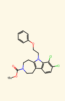 CC(C)(C)OC(=O)N1CCc2c(n(CCOc3ccccc3)c3c(Cl)c(Cl)ccc23)CC1